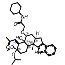 CO[C@]1(OC(C)C)CC[C@]2(C)[C@@]3(C)c4[nH]c5ccccc5c4C[C@@H]3C[C@H](OCC(=O)NC3CCCCC3)[C@@]2(O)/C1=C/C(C)=O